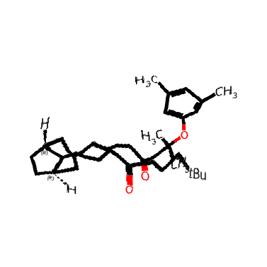 Cc1cc(C)cc(OC(C)(C)C(=O)CCCC2C[C@H]3CC[C@H](C2)C3CCCC(=O)CCCC(C)(C)C)c1